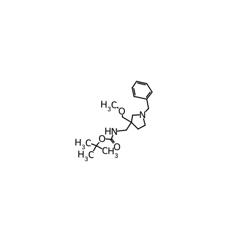 COCC1(CNC(=O)OC(C)(C)C)CCN(Cc2ccccc2)C1